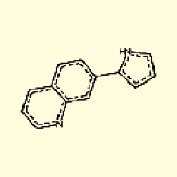 c1c[nH]c(-c2ccc3cccnc3c2)c1